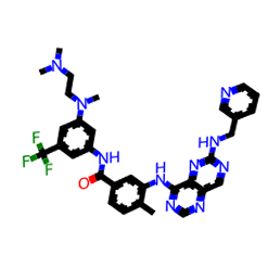 Cc1ccc(C(=O)Nc2cc(N(C)CCN(C)C)cc(C(F)(F)F)c2)cc1Nc1ncnc2cnc(NCc3cccnc3)nc12